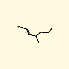 CCCC(C)/C=C/S